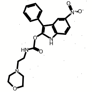 O=C(NCCN1CCOCC1)Oc1[nH]c2ccc([N+](=O)[O-])cc2c1-c1ccccc1